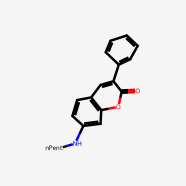 CCCCCNc1ccc2cc(-c3ccccc3)c(=O)oc2c1